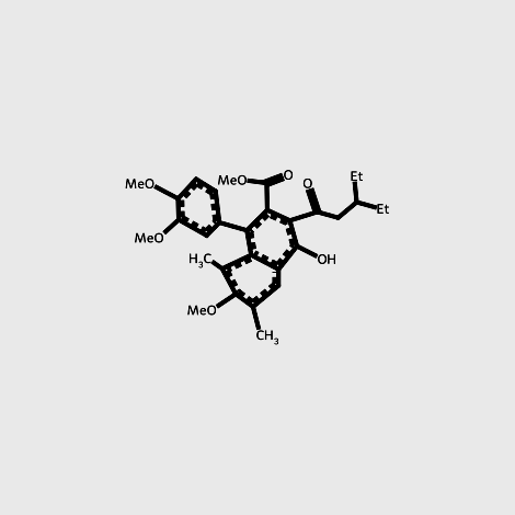 CCC(CC)CC(=O)c1c(C(=O)OC)c(-c2ccc(OC)c(OC)c2)c2c(C)c(OC)c(C)cc2c1O